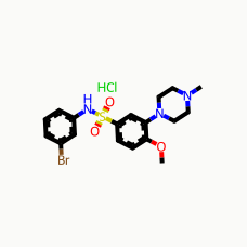 COc1ccc(S(=O)(=O)Nc2cccc(Br)c2)cc1N1CCN(C)CC1.Cl